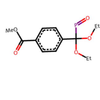 CCOC(OCC)(P=O)c1ccc(C(=O)OC)cc1